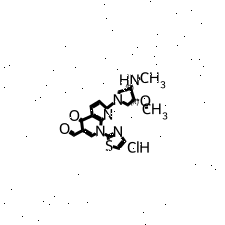 CN[C@@H]1CN(c2ccc3c(=O)c(C=O)cn(-c4nccs4)c3n2)C[C@H]1OC.Cl